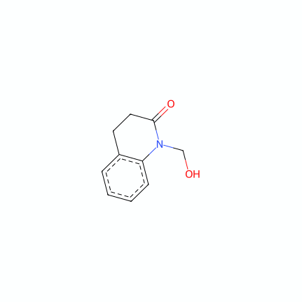 O=C1CCc2ccccc2N1CO